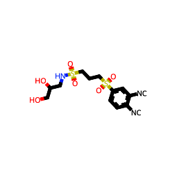 [C-]#[N+]c1ccc(S(=O)(=O)CCCS(=O)(=O)NCC(O)CO)cc1[N+]#[C-]